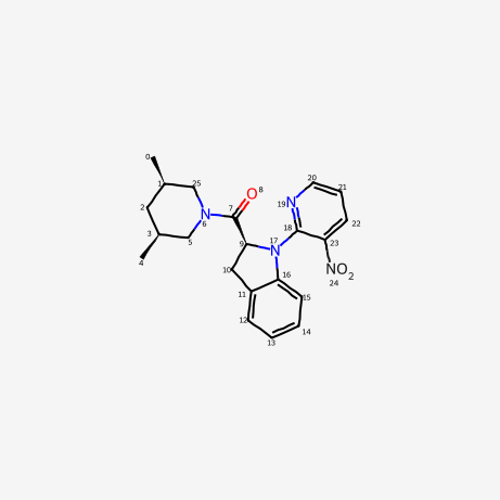 C[C@@H]1C[C@H](C)CN(C(=O)[C@@H]2Cc3ccccc3N2c2ncccc2[N+](=O)[O-])C1